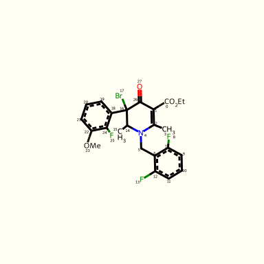 CCOC(=O)C1=C(C)N(Cc2c(F)cccc2F)C(C)C(Br)(c2cccc(OC)c2F)C1=O